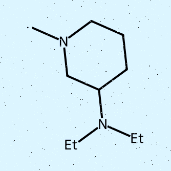 [CH2]N1CCCC(N(CC)CC)C1